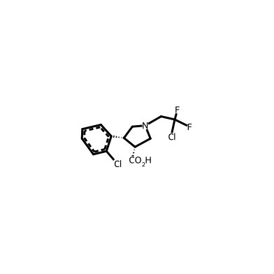 O=C(O)[C@H]1CN(CC(F)(F)Cl)C[C@H]1c1ccccc1Cl